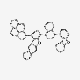 c1ccc2cc3c(cc2c1)oc1c(-c2ccc(-c4cccc5oc6ccccc6c45)c4ccccc24)ccc(-c2ccc4ccc5cccc6ccc2c4c56)c13